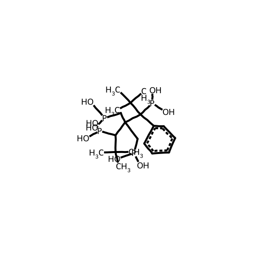 CC(C)(C)C(P(O)O)C(CP(O)O)(CP(O)O)C(c1ccccc1)(P(O)O)C(C)(C)C